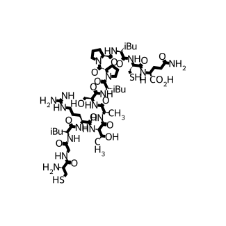 CC[C@H](C)[C@H](NC(=O)CNC(=O)[C@@H](N)CS)C(=O)N[C@@H](CCCNC(=N)N)C(=O)N[C@H](C(=O)N[C@@H](C)C(=O)N[C@@H](CO)C(=O)N[C@H](C(=O)N1CCC[C@H]1C(=O)N1CCC[C@H]1C(=O)N[C@H](C(=O)N[C@@H](CS)C(=O)N[C@@H](CCC(N)=O)C(=O)O)[C@@H](C)CC)[C@@H](C)CC)[C@@H](C)O